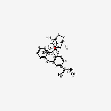 CC(C)(C)OC(=O)N1[C@@H]2CC[C@H]1C[C@@H](N1c3ccccc3Oc3cc(C(=N)NO)ccc31)C2